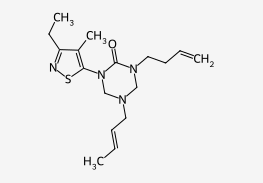 C=CCCN1CN(CC=CC)CN(c2snc(CC)c2C)C1=O